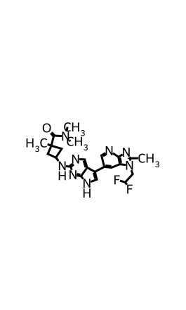 Cc1nc2ncc(-c3c[nH]c4nc(NC5CC(C)(C(=O)N(C)C)C5)ncc34)cc2n1CC(F)F